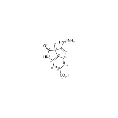 CC1(C(=O)NN)C(=O)Nc2cc(C(=O)O)ccc21